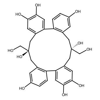 OC[C@@]1(O)Cc2cc(O)ccc2-c2cc(O)c(O)cc2C[C@](O)(CO)Cc2cc(O)ccc2-c2cc(O)c(O)cc2C1